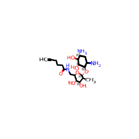 C#CCCCC(=O)NCC1O[C@H](O[C@@H]2C(N)C[C@@H](N)C(O)[C@H]2O)C(C)[C@@H](O)[C@@H]1O